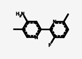 Cc1ccc(F)c(-c2cc(N)c(C)cn2)n1